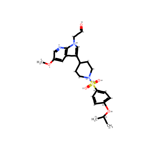 COc1cnc2c(c1)c(C1CCN(S(=O)(=O)c3ccc(OC(C)C)cc3)CC1)cn2CC=O